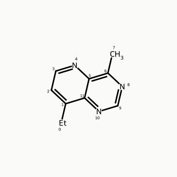 CCc1ccnc2c(C)ncnc12